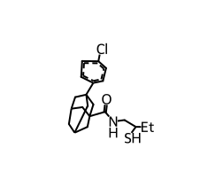 CCC(S)CNC(=O)C12CC3CC(C1)CC(c1ccc(Cl)cc1)(C3)C2